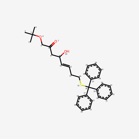 CC(C)(C)OCC(=O)CC(O)/C=C/CCSC(c1ccccc1)(c1ccccc1)c1ccccc1